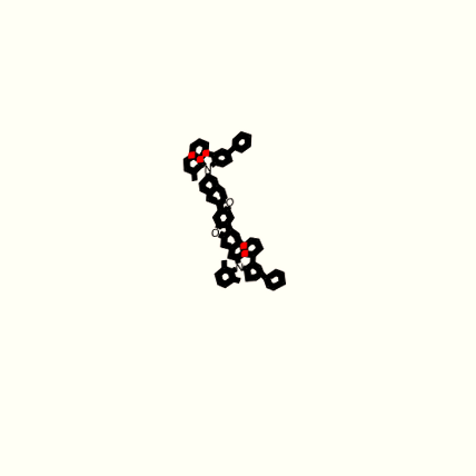 Cc1cccc(C)c1N(c1ccc2cc3c(cc2c1)oc1cc2c(cc13)oc1cc3cc(N(c4ccc(-c5ccccc5)cc4-c4ccccc4)c4c(C)cccc4C)ccc3cc12)c1ccc(-c2ccccc2)cc1-c1ccccc1